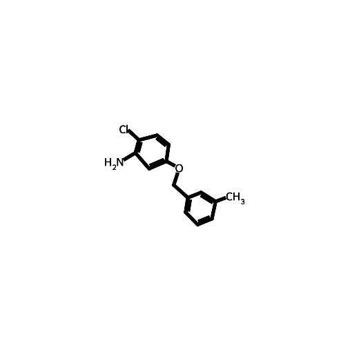 Cc1cccc(COc2ccc(Cl)c(N)c2)c1